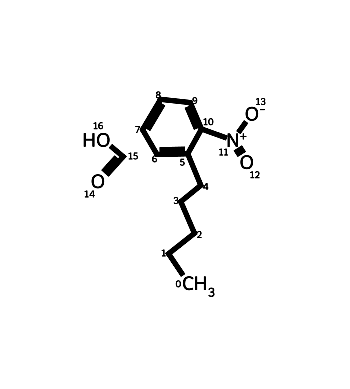 CCCCCc1ccccc1[N+](=O)[O-].O=CO